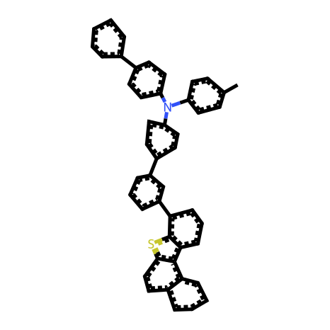 Cc1ccc(N(c2ccc(-c3ccccc3)cc2)c2ccc(-c3cccc(-c4cccc5c4sc4ccc6ccccc6c45)c3)cc2)cc1